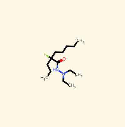 CCCCCC(F)(CCC)C(=O)NN(CC)CC